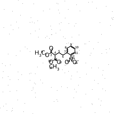 COC(=O)C(CCc1ccccc1[N+](=O)[O-])C(=O)OC